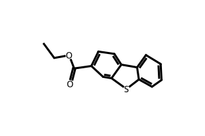 CCOC(=O)c1ccc2c(c1)sc1ccccc12